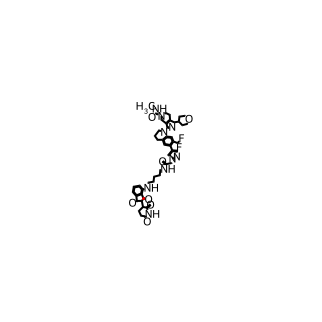 CNC(=O)N1CCC2=C(C1)C(N1CCCc3cc(-c4cnn(CC(=O)NCCCCCNc5cccc6c5C(=O)C(C5CCC(=O)NC5=O)C6=O)c4)c(C(F)F)cc31)=NC2C1CCOCC1